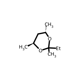 CCC1(C)O[C@@H](C)C[C@H](C)O1